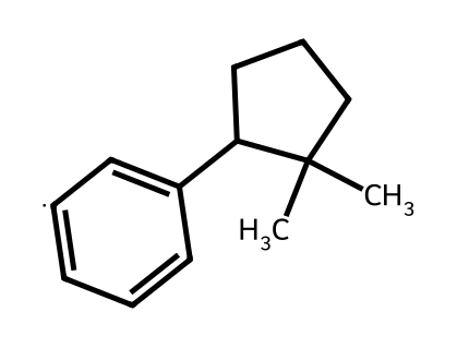 CC1(C)CCCC1c1c[c]ccc1